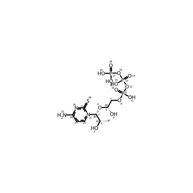 C[C@H](O)[C@@H](O[C@@H](O)COP(=O)(O)OP(=O)(O)OP(=O)(O)O)n1ccc(N)nc1=S